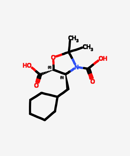 CC1(C)O[C@@H](C(=O)O)[C@H](CC2CCCCC2)N1C(=O)O